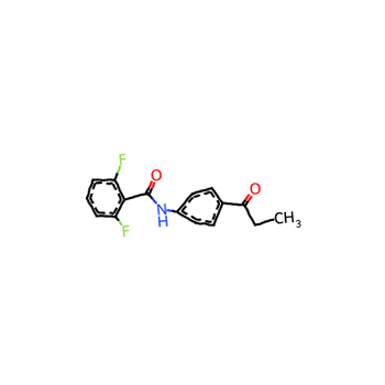 CCC(=O)c1ccc(NC(=O)c2c(F)cccc2F)cc1